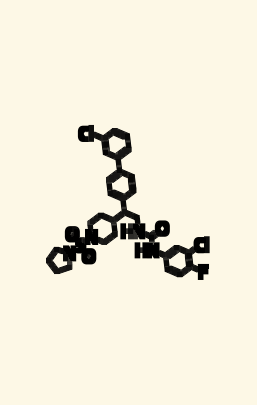 O=C(NCC(c1ccc(-c2cccc(Cl)c2)cc1)C1CCN(S(=O)(=O)N2CCCC2)CC1)Nc1ccc(F)c(Cl)c1